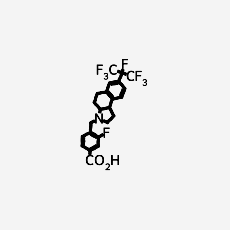 O=C(O)c1ccc(CN2CCC3c4ccc(C(F)(C(F)(F)F)C(F)(F)F)cc4CCC32)c(F)c1